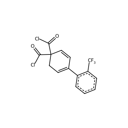 O=C(Cl)C1(C(=O)Cl)C=CC(c2ccccc2C(F)(F)F)=CC1